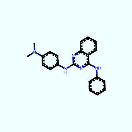 CN(C)c1ccc(Nc2nc(Nc3ccccc3)c3ccccc3n2)cc1